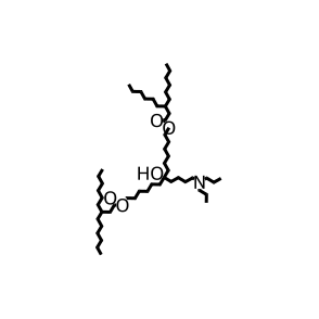 CCCCCCC(CCCCCC)CC(=O)OCCCCCCC(O)(CCCCCCOC(=O)CC(CCCCCC)CCCCCC)CCCCN(CCC)CCC